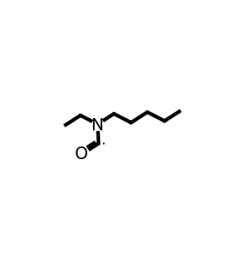 CCCCCN([C]=O)CC